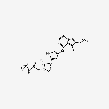 COCc1nn2ccnc(Nc3cc([C@@H]4OC[C@H](OC(=O)NC5(C)CC5)[C@@H]4F)[nH]n3)c2c1C